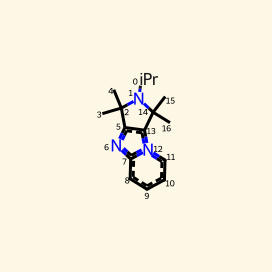 CC(C)N1C(C)(C)c2nc3ccccn3c2C1(C)C